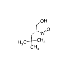 CC(C)(C)C[C@H](CO)N=O